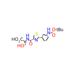 CC(C)(C)OC(=O)Nc1cccc(-c2nc(C(=O)N[C@@H](CO)C(=O)O)cs2)c1